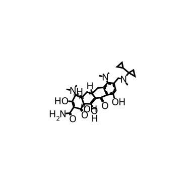 CN(C)c1c(CN(C)C2(C3CC3)CC2)cc(O)c2c1C[C@H]1C[C@H]3[C@H](N(C)C)C(O)=C(C(N)=O)C(=O)[C@@]3(O)C(O)=C1C2=O